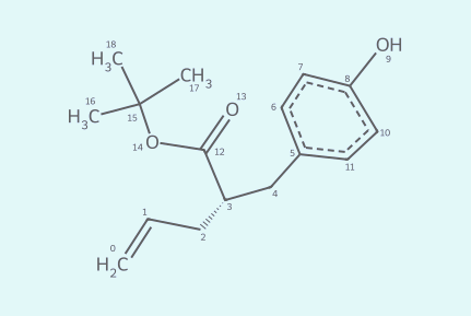 C=CC[C@@H](Cc1ccc(O)cc1)C(=O)OC(C)(C)C